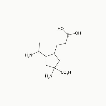 CC(N)C1CC(N)(C(=O)O)CC1CCB(O)O